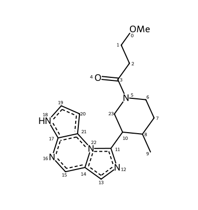 COCCC(=O)N1CCC(C)C(c2ncc3cnc4[nH]ccc4n23)C1